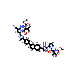 COC(=O)N[C@H](C(=O)N1CCC[C@H]1c1ncc(C2=CCc3ccc(-c4ccc(-c5cnc([C@@H]6CC(C#N)CN6C(=O)[C@@H](NC(=O)OC)C(C)C)[nH]5)cc4)cc3C=C2)[nH]1)C(C)C